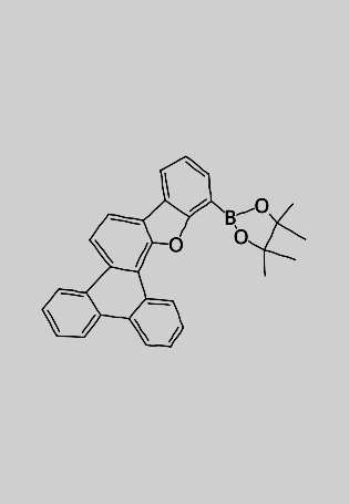 CC1(C)OB(c2cccc3c2oc2c3ccc3c4ccccc4c4ccccc4c32)OC1(C)C